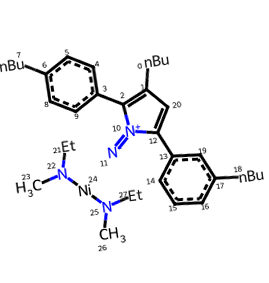 CCCCC1=C(c2ccc(CCCC)cc2)[N+](=[N-])C(c2cccc(CCCC)c2)=C1.CC[N](C)[Ni][N](C)CC